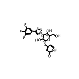 O=c1cc(S[C@H]2OC(CO)[C@H](O)[C@H](n3cc(-c4cc(F)c(F)c(F)c4)nn3)C2O)cc[nH]1